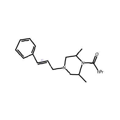 CCCC(=O)N1C(C)CN(C/C=C/c2ccccc2)CC1C